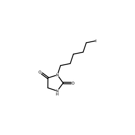 O=C1CNC(=O)N1CCCCCI